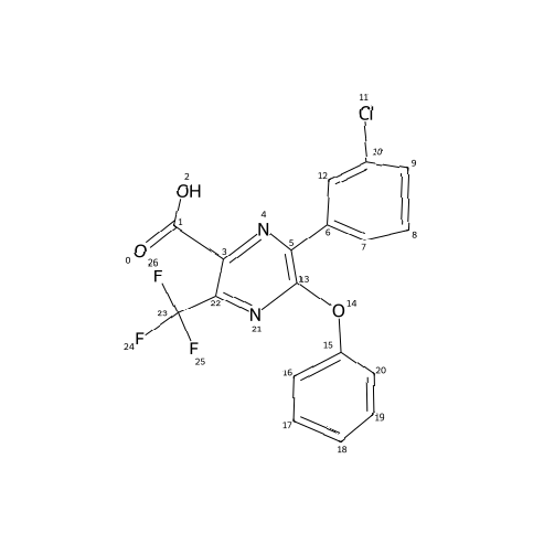 O=C(O)c1nc(-c2cccc(Cl)c2)c(Oc2ccccc2)nc1C(F)(F)F